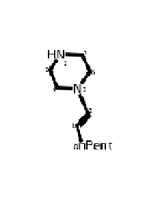 CCCCCC=CN1CCNCC1